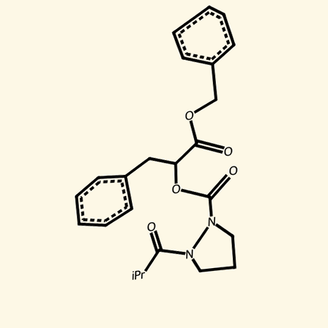 CC(C)C(=O)N1CCCN1C(=O)OC(Cc1ccccc1)C(=O)OCc1ccccc1